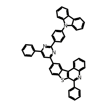 c1ccc(-c2cc(-c3ccc4sc5c(-c6ccccc6)nc6ccccc6c5c4c3)nc(-c3ccc(-n4c5ccccc5c5ccccc54)cc3)n2)cc1